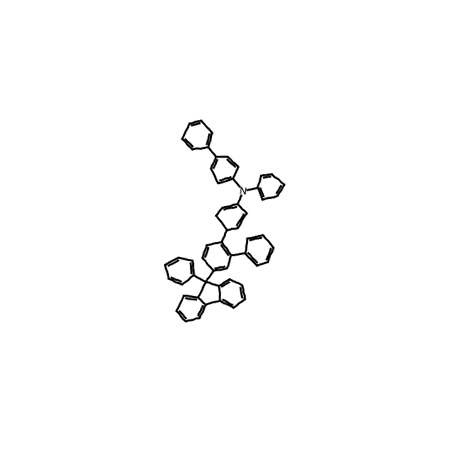 C1=CC(c2ccc(C3(c4ccccc4)c4ccccc4-c4ccccc43)cc2-c2ccccc2)CC=C1N(c1ccccc1)c1ccc(-c2ccccc2)cc1